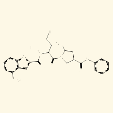 COc1cccc2[nH]c(C(=O)N(C)C(CCC(C)C)C(=O)N3CC(C(=O)Nc4ccccc4)CC3C#N)cc12